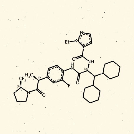 CCn1nccc1C(=O)N[C@H](C(=O)Nc1ccc([C@H](C)C(=O)N2CCC[C@H]2C(F)(F)F)cc1F)C(C1CCCCC1)C1CCCCC1